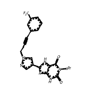 CCCn1c(=O)[nH]c2nc(-c3cnn(CC#Cc4cccc(C(F)(F)F)c4)c3)[nH]c2c1=O